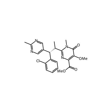 COC(=O)c1nc(C(C)[C@@H](c2cnc(C)nc2)c2ccccc2Cl)n(C)c(=O)c1OC